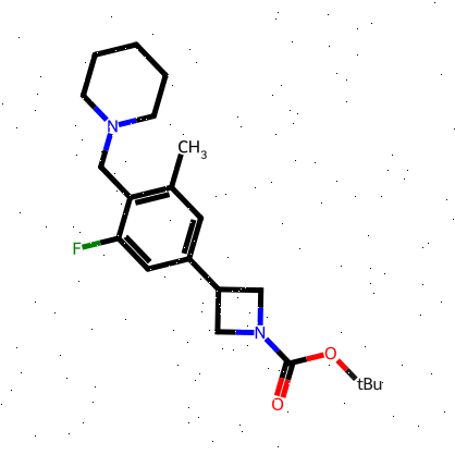 Cc1cc(C2CN(C(=O)OC(C)(C)C)C2)cc(F)c1CN1CCCCC1